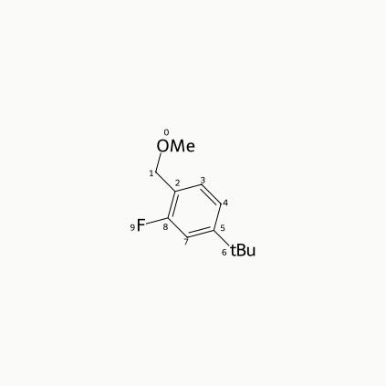 COCc1ccc(C(C)(C)C)cc1F